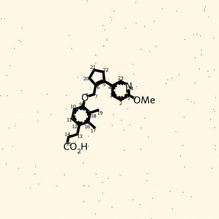 COc1ccc(C2=C(COc3ccc(CCC(=O)O)c(C)c3C)CCC2)cn1